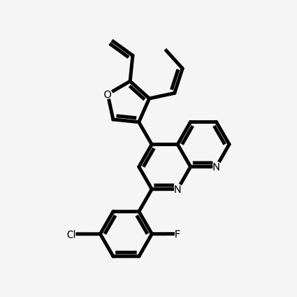 C=Cc1occ(-c2cc(-c3cc(Cl)ccc3F)nc3ncccc23)c1/C=C\C